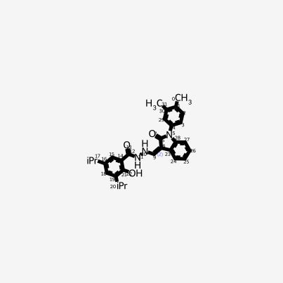 Cc1ccc(N2C(=O)/C(=C\NNC(=O)c3cc(C(C)C)cc(C(C)C)c3O)c3ccccc32)cc1C